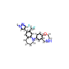 Cn1cc(-c2cc3c(cc2C(F)F)N(c2ccc4c(c2)CNCCO4)CCCC3)cn1